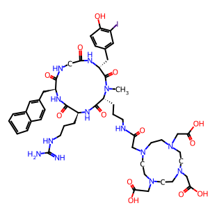 CN1C(=O)[C@@H](Cc2ccc(O)c(I)c2)NC(=O)CNC(=O)[C@H](Cc2ccc3ccccc3c2)NC(=O)[C@H](CCCNC(=N)N)NC(=O)[C@H]1CCCNC(=O)CN1CCN(CC(=O)O)CCN(CC(=O)O)CCN(CC(=O)O)CC1